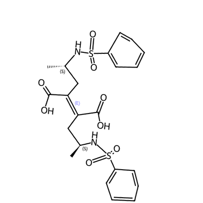 C[C@@H](C/C(C(=O)O)=C(/C[C@H](C)NS(=O)(=O)c1ccccc1)C(=O)O)NS(=O)(=O)c1ccccc1